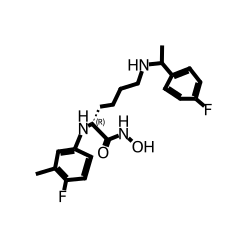 Cc1cc(N[C@H](CCCCNC(C)c2ccc(F)cc2)C(=O)NO)ccc1F